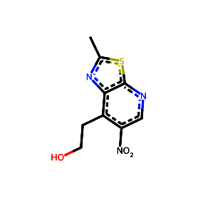 Cc1nc2c(CCO)c([N+](=O)[O-])cnc2s1